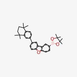 CC1(C)CCC(C)(C)c2cc(-c3ccc4oc5ccc(B6OC(C)(C)C(C)(C)O6)cc5c4c3)ccc21